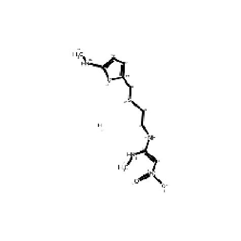 CNC(=C[N+](=O)[O-])NCCSCc1ccc(NC)o1.I